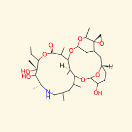 CCC1OC(=O)C(C)C2OC3CC(C[C@@H]4CCC(O)C(OC(C(C)CC(C)CN[C@H](C)C(O)[C@]1(C)O)[C@H]2C)O4)[C@]1(CO1)C(C)O3